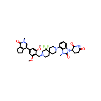 COc1cc(-c2cn(C)c(=O)c3c2CCC3)cc(OC)c1CN1CCC2(CCN(c3cccc4c3n(C)c(=O)n4C3CCC(=O)NC3=O)CC2)C(F)(F)C1